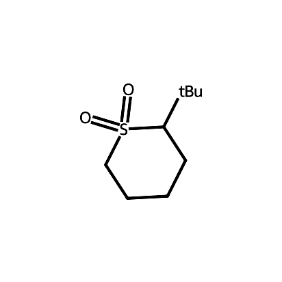 CC(C)(C)C1CCCCS1(=O)=O